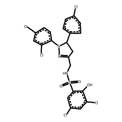 O=S(=O)(NCC1=NN(c2ccc(Cl)cc2Cl)C(c2ccc(Cl)cc2)C1)c1cc(Cl)cc(Cl)c1O